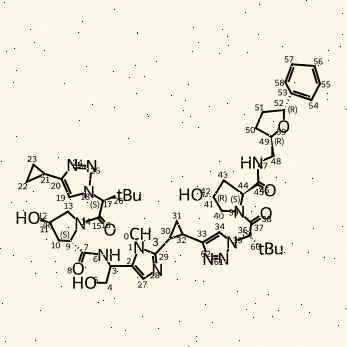 Cn1c(C(CO)NC(=O)[C@@H]2C[C@@H](O)CN2C(=O)[C@@H](n2cc(C3CC3)nn2)C(C)(C)C)cnc1C1CC1c1cn([C@H](C(=O)N2C[C@H](O)C[C@H]2C(=O)NC[C@H]2CC[C@H](c3ccccc3)O2)C(C)(C)C)nn1